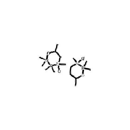 CC1CC[Si](C)(Cl)[Si](C)(C)O1.CC1C[Si](C)(Cl)[Si](C)(C)[Si](C)(C)O1